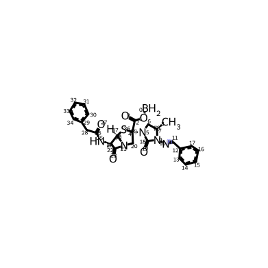 BOC(=O)[C@@]1(N2C[C@@H](C)N(/N=C/c3ccccc3)C2=O)CN2C(=O)[C@@H](NC(=O)Cc3ccccc3)[C@H]2S1